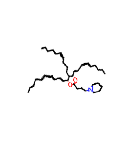 CCCCC/C=C\CCCC(CCC/C=C\CCCCC)C(CCC/C=C\CCCCC)OC(=O)CCCN1CCCCC1